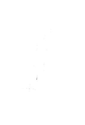 CCCOc1ccc([C@H]2OC[C@H](CCC(F)(F)F)CO2)cc1